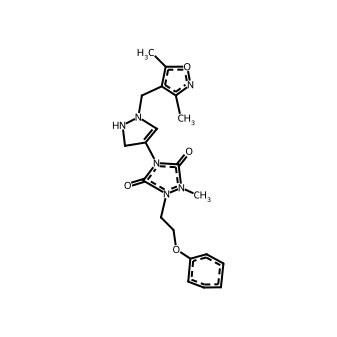 Cc1noc(C)c1CN1C=C(n2c(=O)n(C)n(CCOc3ccccc3)c2=O)CN1